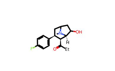 CCC(=O)[C@H]1[C@@H](c2ccc(F)cc2)CC2CC(O)[C@@H]1N2C